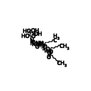 CCCCCCC(=O)N[C@H](CSC[C@@H](COC(=O)CCCCCC)OC(=O)CCCCCC)C(=O)Nc1cn(CC2OC(O)C(O)C(O)C2O)nn1